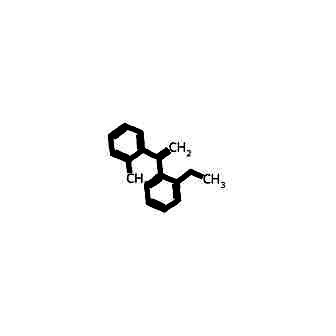 C=C(c1ccccc1C)c1ccccc1CC